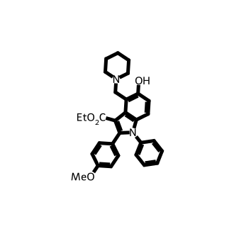 CCOC(=O)c1c(-c2ccc(OC)cc2)n(-c2ccccc2)c2ccc(O)c(CN3CCCCC3)c12